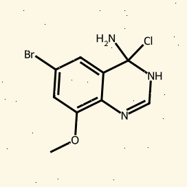 COc1cc(Br)cc2c1N=CNC2(N)Cl